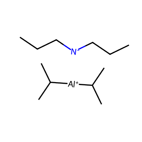 CCC[N-]CCC.C[CH](C)[Al+][CH](C)C